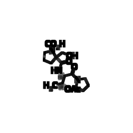 CC(=O)O[C@H](C)[C@H](NC(=O)C1(CO)CCCN1C(=O)O)C(=O)N1CCCC1